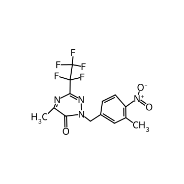 Cc1cc(Cn2nc(C(F)(F)C(F)(F)F)nc(C)c2=O)ccc1[N+](=O)[O-]